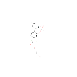 CC1=CCC2(O)C(C1)c1ccc(C(F)(F)C(=O)OCCCBr)cc1OC2(C)C